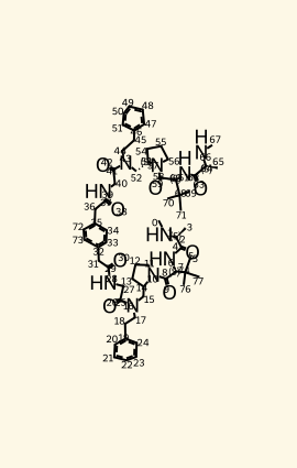 CN[C@@H](C)C(=O)N[C@H](C(=O)N1CCCC1CN(CCc1ccccc1)C(=O)CNC(=O)Cc1ccc(CC(=O)NCC(=O)N(CCc2ccccc2)C[C@@H]2CCCN2C(=O)[C@@H](NC(=O)[C@H](C)NC)C(C)(C)C)cc1)C(C)(C)C